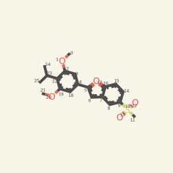 COc1cc(-c2cc3cc(S(C)(=O)=O)ccc3o2)cc(OC)c1C(C)C